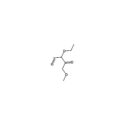 CCOC([C]=O)C(=O)COC